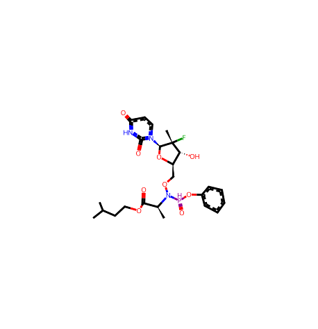 CC(C)CCOC(=O)[C@H](C)N(OC[C@H]1O[C@@H](n2ccc(=O)[nH]c2=O)[C@](C)(F)[C@@H]1O)[PH](=O)Oc1ccccc1